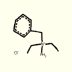 CC[N+](P)(CC)Cc1ccccc1.[Cl-]